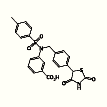 Cc1ccc(S(=O)(=O)N(Cc2ccc(C3SC(=O)NC3=O)cc2)c2cccc(C(=O)O)c2)cc1